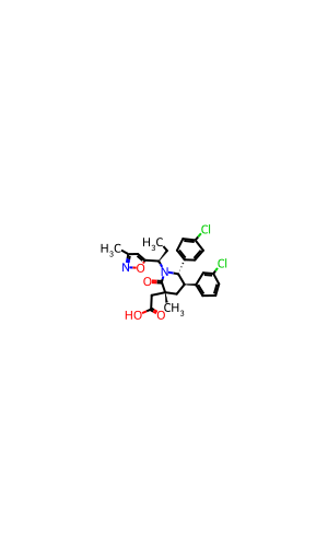 CC[C@H](c1cc(C)no1)N1C(=O)[C@@](C)(CC(=O)O)C[C@H](c2cccc(Cl)c2)[C@H]1c1ccc(Cl)cc1